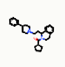 O=C(C1CCCC1)N1CCc2ccccc2C1CCN1CCC(c2ccccc2)CC1